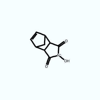 O=C1C2C3C=CC(C3)C2C(=O)[N+]1O